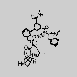 COc1c(CN2OC[C@H]([C@H](C)O)[C@H]2C(=O)N[C@H]2C[C@H]3C[C@@H]([C@@H]2C)C3(C)C)cccc1-c1cc(C(=O)N[C@@H](Cc2ccccc2)CN(C)C)cc(C(=O)N(C)C)c1